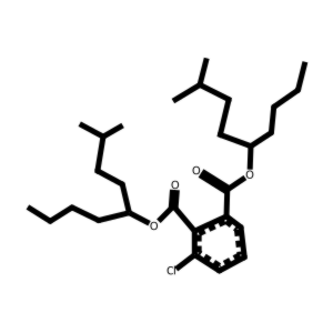 CCCCC(CCC(C)C)OC(=O)c1cccc(Cl)c1C(=O)OC(CCCC)CCC(C)C